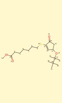 COC(=O)CCCCCCSC1=CC(O[Si](C)(C)C(C)(C)C)CC1=O